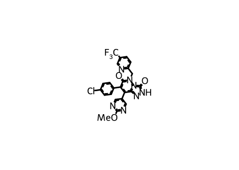 COc1ncc(-c2c(-c3ccc(Cl)cc3)c(=O)n(Cc3ccc(C(F)(F)F)cn3)n3c(=O)[nH]nc23)cn1